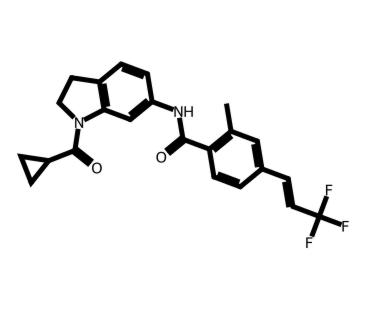 Cc1cc(C=CC(F)(F)F)ccc1C(=O)Nc1ccc2c(c1)N(C(=O)C1CC1)CC2